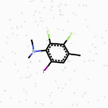 Cc1cc(I)c(N(C)C)c(F)c1F